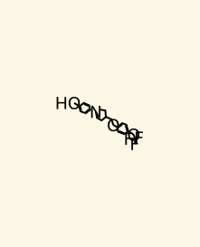 Oc1ccc(N2CCC(COc3ccc(OC(F)(F)F)cc3)CC2)cc1